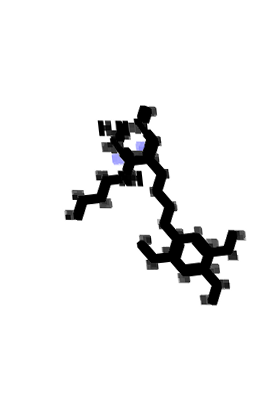 C=N/C=C(CCCCc1cc(CC)c(CC)cc1CC)\C(=N/N)NCCCC